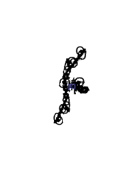 C=CC(=O)OCCCCOCC(COc1ccc(C(=O)Oc2ccc(-c3ccc(OCC(COCCCCOC(=O)C=C)OC(=O)C=C)cc3)cc2/C=N/N(C(=O)CC)c2nc3ccccc3s2)cc1)OC(=O)C=C